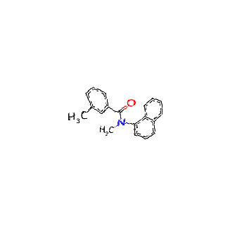 Cc1cccc(C(=O)N(C)c2cccc3ccccc23)c1